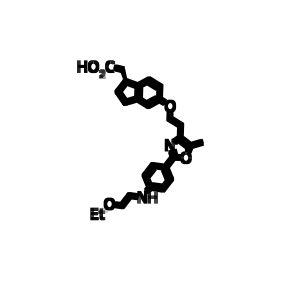 CCOCCNc1ccc(-c2nc(CCOc3ccc4c(c3)CC[C@H]4CC(=O)O)c(C)o2)cc1